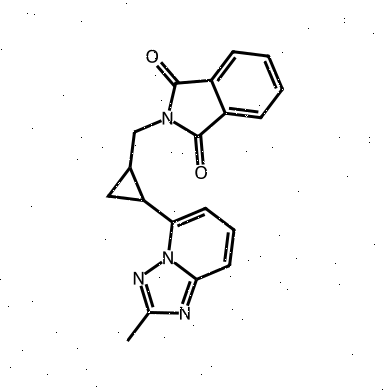 Cc1nc2cccc(C3CC3CN3C(=O)c4ccccc4C3=O)n2n1